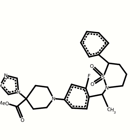 COC(=O)C1(n2cnnc2)CCN(c2ccc(C(C)N3CCCC(c4ccccc4)S3(=O)=O)c(F)c2)CC1